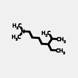 CCC(CCCCN(C)C)C(C)C